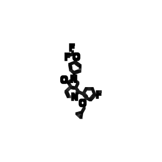 O=C1c2ccnc(-c3ccc(F)cc3OCC3CC3)c2CN1c1ccc(OC(F)F)cc1